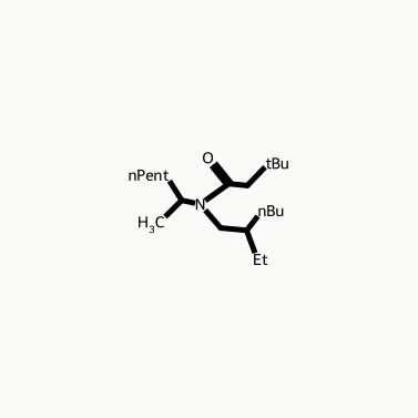 CCCCCC(C)N(CC(CC)CCCC)C(=O)CC(C)(C)C